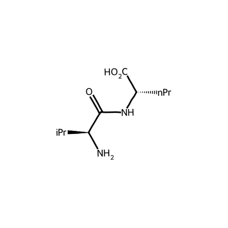 CCC[C@H](NC(=O)[C@@H](N)C(C)C)C(=O)O